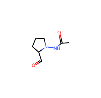 CC(=O)NN1CCCC1C=O